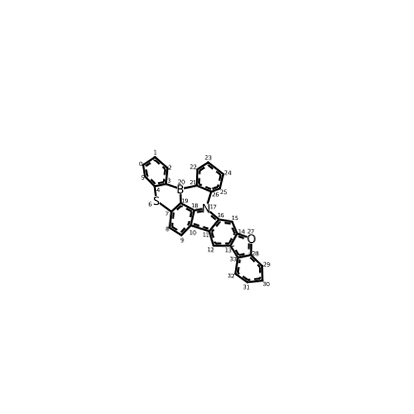 c1ccc2c(c1)Sc1ccc3c4cc5c(cc4n4c3c1B2c1ccccc1-4)oc1ccccc15